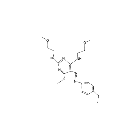 CCc1ccc(N=Nc2c(NCCOC)nc(NCCOC)nc2SC)cc1